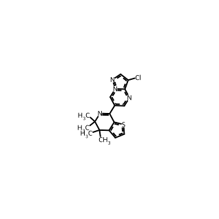 CC1(C)N=C(c2cnc3c(Cl)cnn3c2)c2sccc2C1(C)C